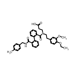 CCOc1ccc(CCN(CCC(=O)O)C(=O)c2ccccc2-c2ccccc2C(=O)NCc2ccc(C)cc2)cc1OC